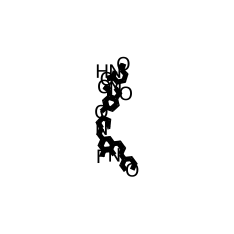 O=C1CC[C@@H](N2C(=O)c3ccc(O[C@H]4CCN(Cc5cc(F)c6nc(C7CCOCC7)ccc6c5)C4)cc3C2=O)C(=O)N1